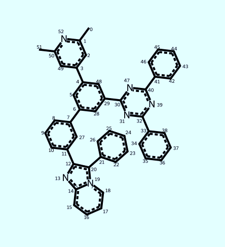 Cc1cc(-c2cc(-c3cccc(-c4nc5ccccn5c4-c4ccccc4)c3)cc(-c3nc(-c4ccccc4)nc(-c4ccccc4)n3)c2)cc(C)n1